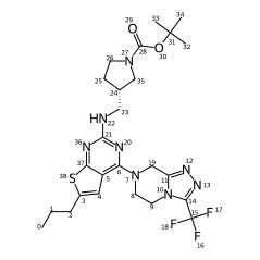 CCCc1cc2c(N3CCn4c(nnc4C(F)(F)F)C3)nc(NC[C@@H]3CCN(C(=O)OC(C)(C)C)C3)nc2s1